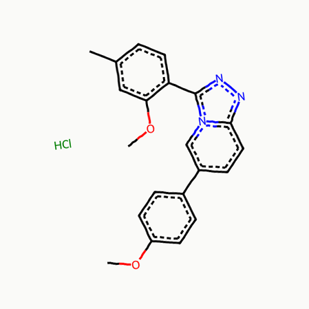 COc1ccc(-c2ccc3nnc(-c4ccc(C)cc4OC)n3c2)cc1.Cl